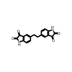 O=C1Nc2ccc(CCc3ccc4c(c3)C(=O)C(=O)N4)cc2C1=O